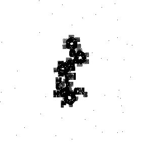 Cc1[nH]c2c(F)ccc(C)c2c1CCNc1ncnc2cc(-c3ccccc3Oc3ccccc3)sc12